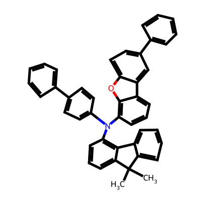 CC1(C)c2ccccc2-c2c(N(c3ccc(-c4ccccc4)cc3)c3cccc4c3oc3ccc(-c5ccccc5)cc34)cccc21